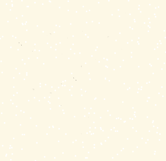 CCOc1ccc(Cn2c3cc(-c4ccc(Cl)cc4Cl)c[c]c3c3c(C(N)=O)cccc32)cc1